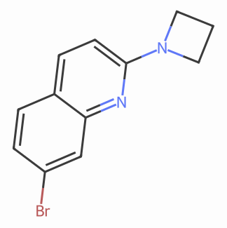 Brc1ccc2ccc(N3CCC3)nc2c1